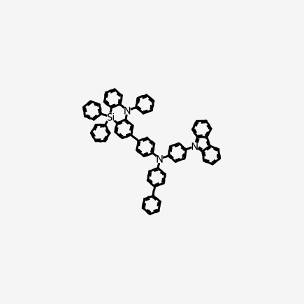 c1ccc(-c2ccc(N(c3ccc(-c4ccc5c(c4)N(c4ccccc4)c4ccccc4[Si]5(c4ccccc4)c4ccccc4)cc3)c3ccc(-n4c5ccccc5c5ccccc54)cc3)cc2)cc1